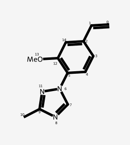 C=Cc1ccc(-n2cnc(C)n2)c(OC)c1